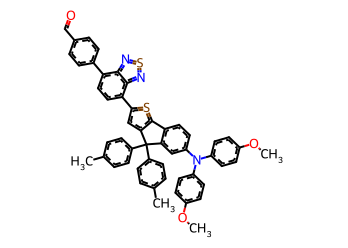 COc1ccc(N(c2ccc(OC)cc2)c2ccc3c(c2)C(c2ccc(C)cc2)(c2ccc(C)cc2)c2cc(-c4ccc(-c5ccc(C=O)cc5)c5nsnc45)sc2-3)cc1